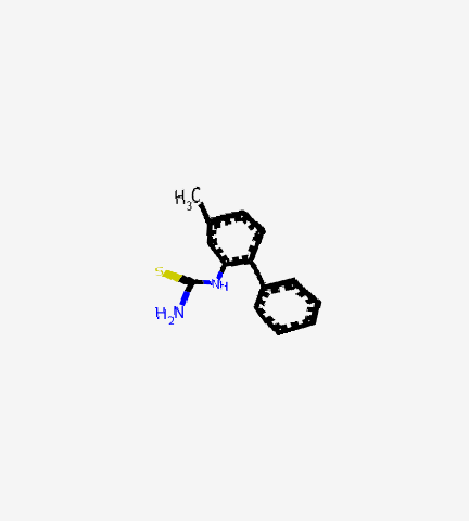 Cc1ccc(-c2ccccc2)c(NC(N)=S)c1